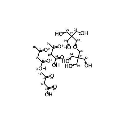 CC(=O)CC(=O)O.CC(=O)CC(=O)O.CC(=O)CC(=O)O.OCC(CO)(CO)COCC(CO)(CO)CO